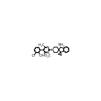 Cc1nc(N2CCC3(CC2)[C@H](N)c2ccccc2C32CC2)nc(C(=O)O)c1-c1cccc(Cl)c1Cl